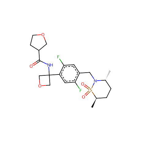 C[C@@H]1CC[C@@H](C)S(=O)(=O)N1Cc1cc(F)c(C2(NC(=O)C3CCOC3)COC2)cc1F